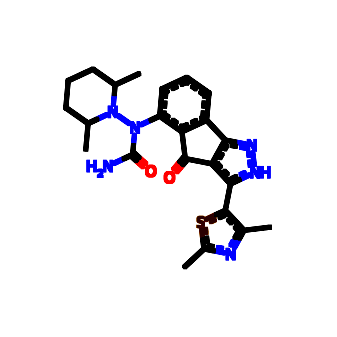 Cc1nc(C)c(-c2[nH]nc3c2C(=O)c2c-3cccc2N(C(N)=O)N2C(C)CCCC2C)s1